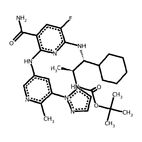 Cc1ncc(Nc2nc(N[C@H](C3CCCCC3)[C@H](C)NC(=O)OC(C)(C)C)c(F)cc2C(N)=O)cc1-n1nccn1